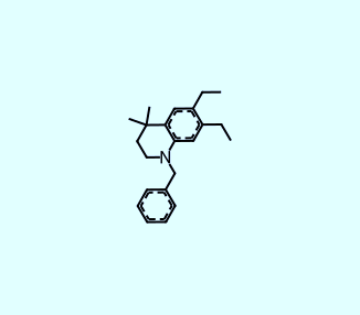 CCc1cc2c(cc1CC)C(C)(C)CCN2Cc1ccccc1